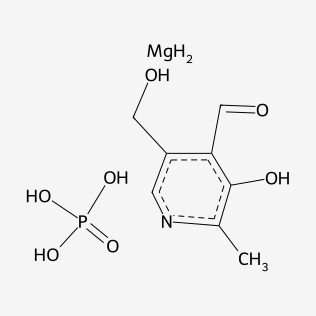 Cc1ncc(CO)c(C=O)c1O.O=P(O)(O)O.[MgH2]